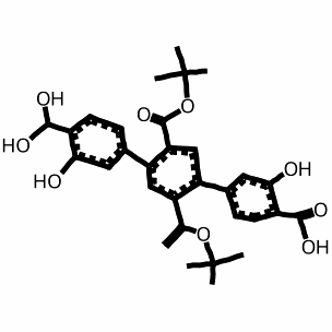 C=C(OC(C)(C)C)c1cc(-c2ccc(C(O)O)c(O)c2)c(C(=O)OC(C)(C)C)cc1-c1ccc(C(=O)O)c(O)c1